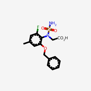 Cc1cc(F)c(N(CC(=O)O)S(N)(=O)=O)c(OCc2ccccc2)c1